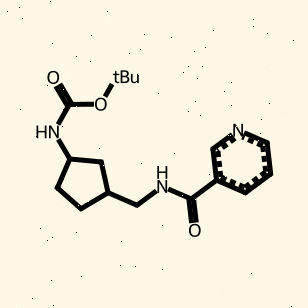 CC(C)(C)OC(=O)NC1CCC(CNC(=O)c2cccnc2)C1